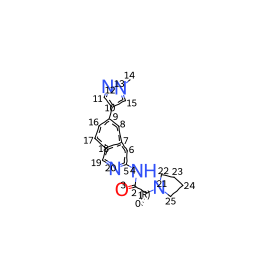 C[C@H](C(=O)Nc1cc2cc(-c3cnn(C)c3)ccc2cn1)N1CCCC1